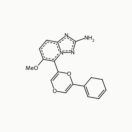 COc1ccc2nc(N)nn2c1C1=COC=C(C2=CC=CCC2)O1